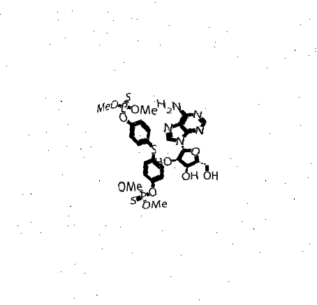 COP(=S)(OC)Oc1ccc(Sc2ccc(OP(=S)(OC)OC)cc2)cc1.Nc1ncnc2c1ncn2[C@@H]1O[C@H](CO)[C@@H](O)[C@H]1O